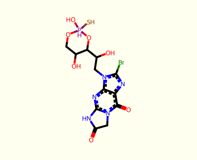 O=C1Cn2c(nc3c(nc(Br)n3CC(O)C3O[PH](O)(S)OCC3O)c2=O)N1